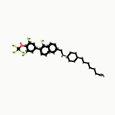 CCCCCCC[C@H]1CC[C@H](CCc2ccc3c(F)c(-c4cc(F)c(OC(F)(F)F)c(F)c4)ccc3c2)CC1